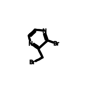 BrCc1nccnc1Br